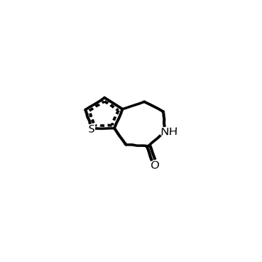 O=C1Cc2sccc2CCN1